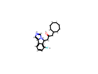 O=C(CC1CCCCCCC1)CC1c2c(F)cccc2-c2cncn21